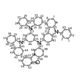 c1ccc(-n2c3ccccc3c3cc(N(c4cc(-n5c6ccccc6c6ccccc65)cc(-n5c6ccccc6c6ccccc65)c4)c4ccc5oc6ccccc6c5c4)ccc32)cc1